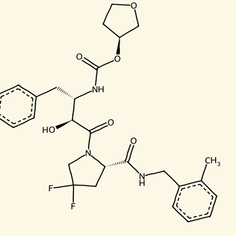 Cc1ccccc1CNC(=O)[C@@H]1CC(F)(F)CN1C(=O)[C@@H](O)[C@H](Cc1ccccc1)NC(=O)O[C@H]1CCOC1